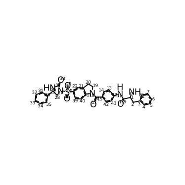 NC(Cc1ccccc1)C(=O)Nc1ccc(C(=O)N2CCc3cc(S(=O)(=O)N4CC(c5ccccc5)NC4=O)ccc32)cc1